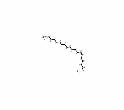 [CH2]CCCCCCCCCC=CC/C=C\CCCCC